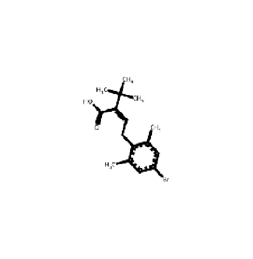 Cc1cc(Br)cc(C)c1CC=C(C(=O)O)C(C)(C)C